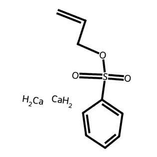 C=CCOS(=O)(=O)c1ccccc1.[CaH2].[CaH2]